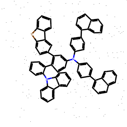 c1ccc(-n2c3ccccc3c3ccccc32)c(-c2ccc(N(c3ccc(-c4cccc5ccccc45)cc3)c3ccc(-c4cccc5ccccc45)cc3)cc2-c2ccc3sc4ccccc4c3c2)c1